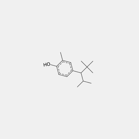 Cc1cc(C(C(C)C)C(C)(C)C)ccc1O